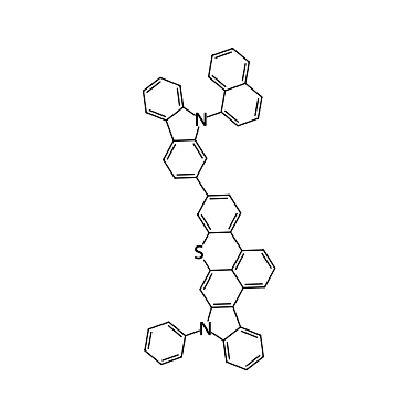 c1ccc(-n2c3ccccc3c3c4cccc5c4c(cc32)Sc2cc(-c3ccc4c6ccccc6n(-c6cccc7ccccc67)c4c3)ccc2-5)cc1